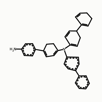 Nc1ccc(C2=CC=C(N(C3=CCC(C4=CCCC=C4)C=C3)c3ccc(-c4ccccc4)cc3)CC2)cc1